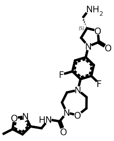 Cc1cc(CNC(=O)N2CCN(c3c(F)cc(N4C[C@H](CN)OC4=O)cc3F)CCO2)no1